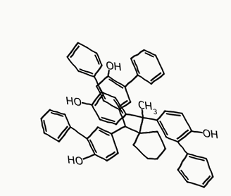 CC(c1ccc(O)c(-c2ccccc2)c1)(c1ccc(O)c(-c2ccccc2)c1)C1(C(c2ccc(O)c(-c3ccccc3)c2)c2ccc(O)c(-c3ccccc3)c2)CCCCC1